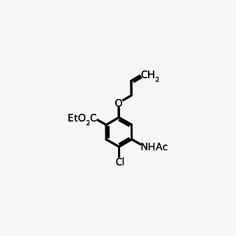 C=CCOc1cc(NC(C)=O)c(Cl)cc1C(=O)OCC